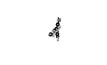 Cc1nc(-c2ccc(-c3cc4cnc(NC5CCOCC5)nc4n(Cc4ccc5c(c4)CNC5)c3=O)c(Cl)c2)no1